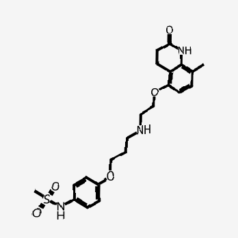 Cc1ccc(OCCNCCCOc2ccc(NS(C)(=O)=O)cc2)c2c1NC(=O)CC2